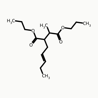 CCC=CCC(C(=O)OCCC)C(C)C(=O)OCCC